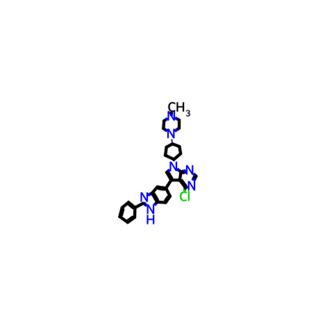 CN1CCN([C@H]2CC[C@@H](n3cc(-c4ccc5[nH]c(-c6ccccc6)nc5c4)c4c(Cl)ncnc43)CC2)CC1